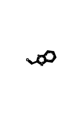 O=[C]c1nc2ccccc2s1